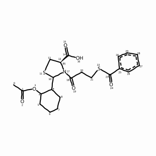 CC(=O)OC1CCCCC1C1SC[C@@H](C(=O)O)N1C(=O)CCSC(=O)c1ccccc1